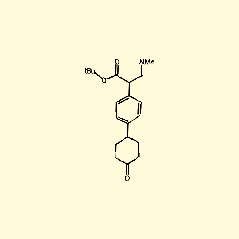 CNCC(C(=O)OC(C)(C)C)c1ccc(C2CCC(=O)CC2)cc1